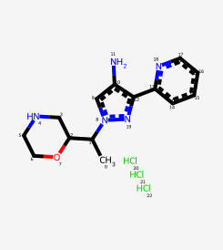 CC(C1CNCCO1)n1cc(N)c(-c2ccccn2)n1.Cl.Cl.Cl